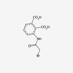 O=C(CBr)Nc1cccc(C(=O)O)c1C(=O)O